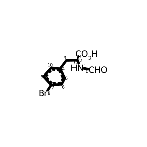 O=CN[C@@H](Cc1ccc(Br)cc1)C(=O)O